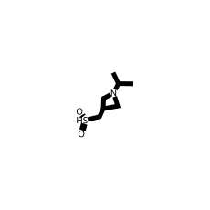 CC(C)N1CC(C[SH](=O)=O)C1